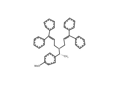 COc1ccc([C@@H](C)N(CC=C(c2ccccc2)c2ccccc2)CC=C(c2ccccc2)c2ccccc2)cc1